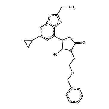 NCc1cn2cc(C3CC3)cc(N3CC(=O)N(CCOCc4ccccc4)C3O)c2n1